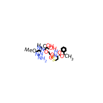 COc1nc(N)nc2c1ncn2[C@H](OCCO[P@]1(=O)N[C@H](C(=O)O[C@@H](C)c2ccccc2)CCS1)[C@](C)(O)CO